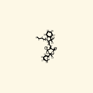 CCCCN1/C(=C/C=C2C(=O)OC(C)(c3ccccc3)OC2=O)C(C)(C)c2ccccc21